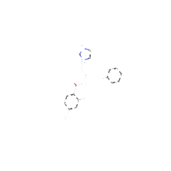 O=C(O[C@@H](COc1ccccc1)Cn1ccnc1)c1ccc(Br)cc1Cl